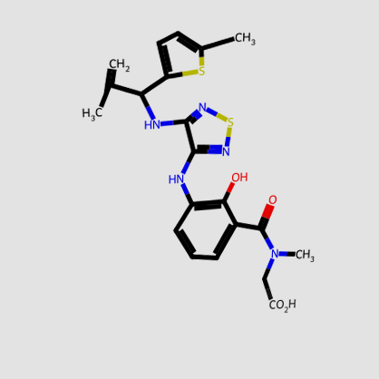 C=C(C)C(Nc1nsnc1Nc1cccc(C(=O)N(C)CC(=O)O)c1O)c1ccc(C)s1